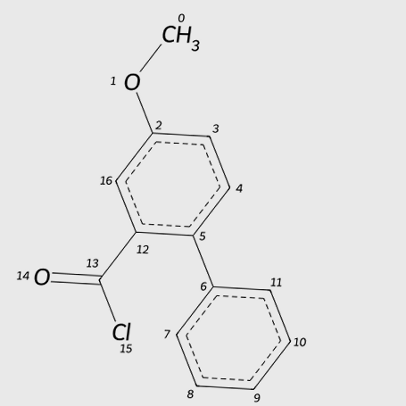 COc1ccc(-c2ccccc2)c(C(=O)Cl)c1